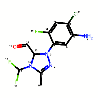 CC1=NN(c2cc(N)c(Cl)cc2F)C(C=O)N1C(F)F